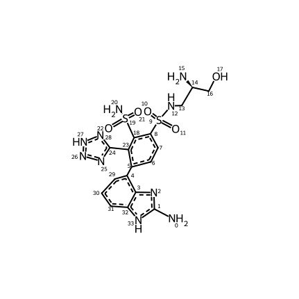 Nc1nc2c(-c3ccc(S(=O)(=O)NC[C@@H](N)CO)c(S(N)(=O)=O)c3-c3nn[nH]n3)cccc2[nH]1